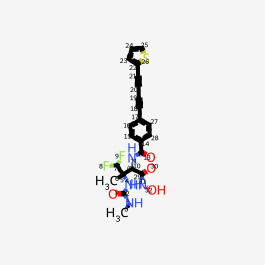 CNC(=O)NC(C)(C(F)F)[C@H](NC(=O)c1ccc(C#CC#Cc2cccs2)cc1)C(=O)NO